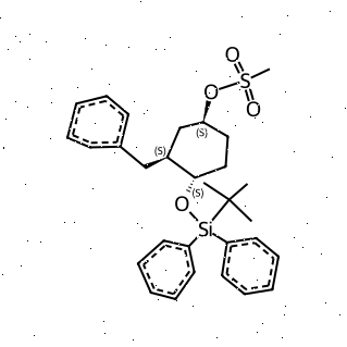 CC(C)(C)[Si](O[C@H]1CC[C@H](OS(C)(=O)=O)C[C@@H]1Cc1ccccc1)(c1ccccc1)c1ccccc1